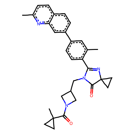 Cc1ccc2ccc(-c3ccc(C4=NC5(CC5)C(=O)N4CC4CN(C(=O)C5(C)CC5)C4)c(C)c3)cc2n1